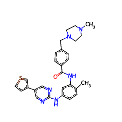 Cc1ccc(Nc2ncc(-c3ccsc3)cn2)cc1NC(=O)c1ccc(CN2CCN(C)CC2)cc1